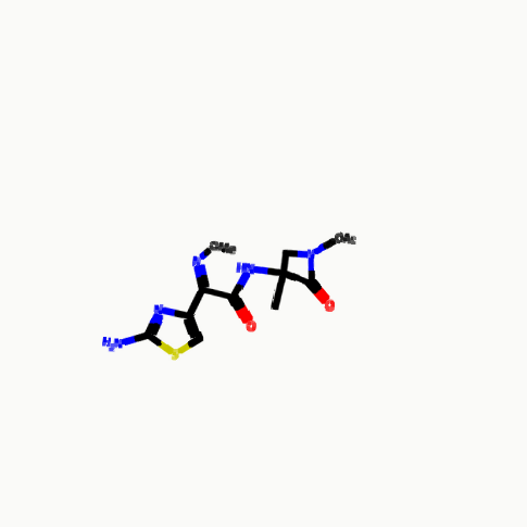 CON=C(C(=O)NC1(C)CN(OC(C)=O)C1=O)c1csc(N)n1